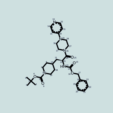 CC(C)(C)OC(=O)N1CCC(C[C@H](NC(=O)OCc2ccccc2)C(=O)N2CCN(c3ccncc3)CC2)CC1